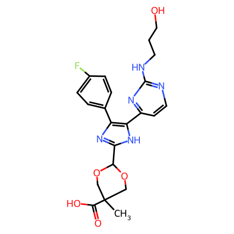 CC1(C(=O)O)COC(c2nc(-c3ccc(F)cc3)c(-c3ccnc(NCCCO)n3)[nH]2)OC1